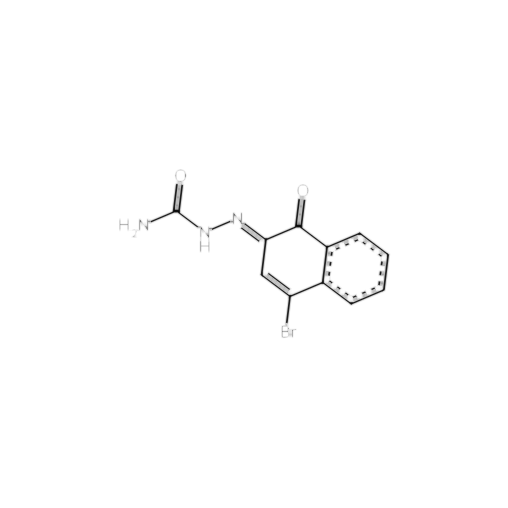 NC(=O)N/N=C1\C=C(Br)c2ccccc2C1=O